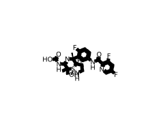 CC1(C)C(NC(=O)O)=N[C@](C)(c2cc(NC(=O)c3ncc(F)cc3F)ccc2F)[C@@H]2CCN[S@@]21O